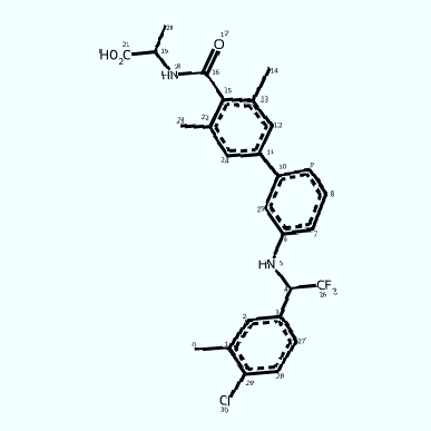 Cc1cc(C(Nc2cccc(-c3cc(C)c(C(=O)NC(C)C(=O)O)c(C)c3)c2)C(F)(F)F)ccc1Cl